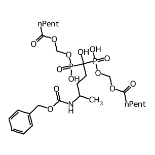 CCCCCC(=O)OCOP(=O)(O)C(O)(CCC(C)NC(=O)OCc1ccccc1)P(=O)(O)OCOC(=O)CCCCC